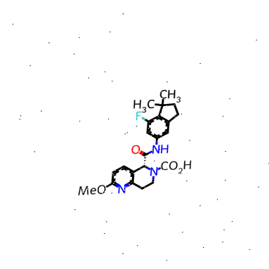 COc1ccc2c(n1)CCN(C(=O)O)[C@H]2C(=O)Nc1cc(F)c2c(c1)CCC2(C)C